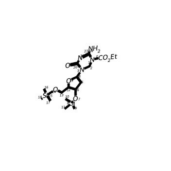 CCOC(=O)N1CN(C2CC(O[Si](C)(C)C)C(CO[Si](C)(C)C)O2)C(=O)N=C1N